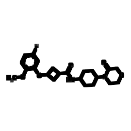 COc1ccc(F)cc1OC1CC(C(=O)NC2CCC(N3CCOCC3=O)CC2)C1